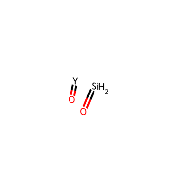 O=[SiH2].[O]=[Y]